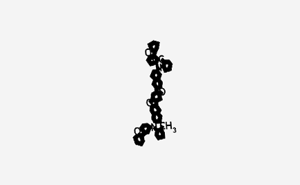 Cc1ccccc1N(c1ccc2cc3c(cc2c1)oc1cc2c(cc13)oc1cc3cc(N(c4ccc5oc6ccccc6c5c4)c4ccccc4C)ccc3cc12)c1ccc2oc3ccccc3c2c1